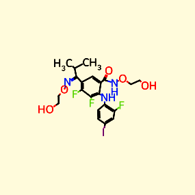 CC(C)/C(=N/OCCO)c1cc(C(=O)NOCCO)c(Nc2ccc(I)cc2F)c(F)c1F